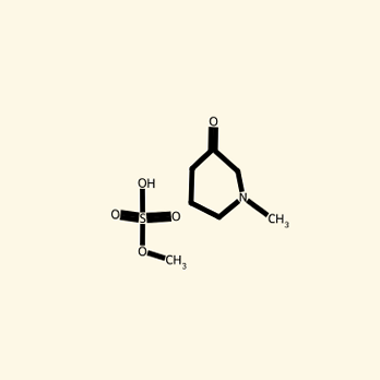 CN1CCCC(=O)C1.COS(=O)(=O)O